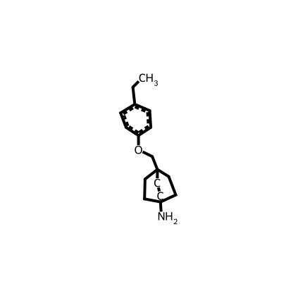 CCc1ccc(OCC23CCC(N)(CC2)CC3)cc1